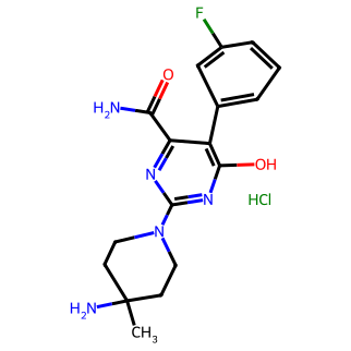 CC1(N)CCN(c2nc(O)c(-c3cccc(F)c3)c(C(N)=O)n2)CC1.Cl